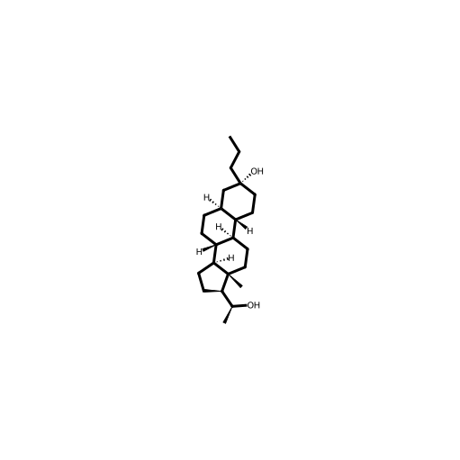 CCC[C@@]1(O)CC[C@H]2[C@@H](CC[C@@H]3[C@@H]2CC[C@]2(C)[C@@H]([C@H](C)O)CC[C@@H]32)C1